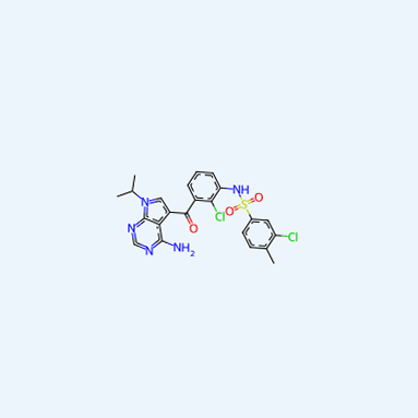 Cc1ccc(S(=O)(=O)Nc2cccc(C(=O)c3cn(C(C)C)c4ncnc(N)c34)c2Cl)cc1Cl